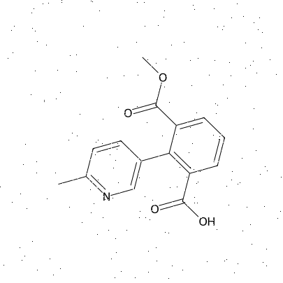 COC(=O)c1cccc(C(=O)O)c1-c1ccc(C)nc1